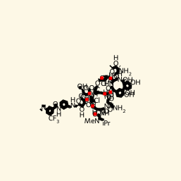 CN[C@H](CC(C)C)C(=O)NC1C(=O)NC(CC(N)=O)C(=O)N[C@H]2C(=O)N[C@H]3C(=O)N[C@H](C(=O)N[C@@H](O)c4cc(O)cc(O)c4-c4cc3ccc4O)[C@H](O[C@H]3C[C@](C)(N)[C@@H](O)[C@H](C)O3)c3ccc(c(Cl)c3)Oc3cc2cc(c3O[C@@H]2O[C@H](CO)[C@@H](O[C@@H]3O[C@H](CNCc4cccc(NC(=O)c5cc(N(C)C)cc(C(F)(F)F)c5)c4)[C@H](O)[C@H](O)[C@H]3O)[C@H](O)[C@H]2O)Oc2ccc(cc2Cl)[C@H]1O